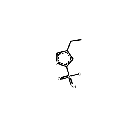 CCc1csc(S(=N)(=O)Cl)c1